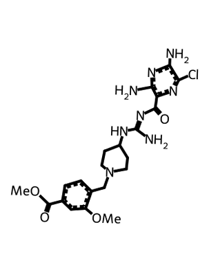 COC(=O)c1ccc(CN2CCC(N/C(N)=N/C(=O)c3nc(Cl)c(N)nc3N)CC2)c(OC)c1